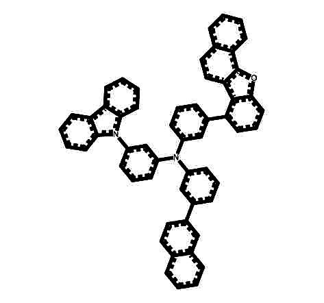 c1cc(-c2ccc3ccccc3c2)cc(N(c2cccc(-c3cccc4oc5c6ccccc6ccc5c34)c2)c2cccc(-n3c4ccccc4c4ccccc43)c2)c1